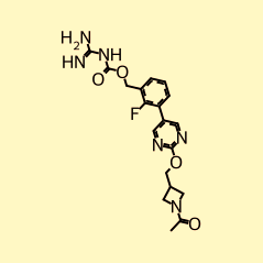 CC(=O)N1CC(COc2ncc(-c3cccc(COC(=O)NC(=N)N)c3F)cn2)C1